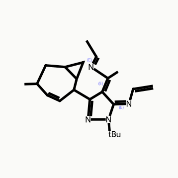 C=C\N=C1/C(=C(C)/N=C/C)C(C2C=CC(C)CC3CC32)=NN1C(C)(C)C